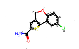 NC(=O)c1cc2c(s1)-c1cc(Cl)ccc1OC2